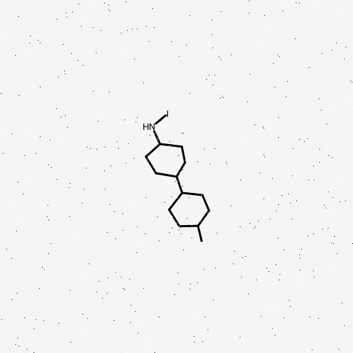 CC1CCC(C2CCC(NI)CC2)CC1